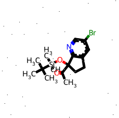 CC(=O)C1(O[Si](C)(C)C(C)(C)C)CCc2cc(Br)cnc21